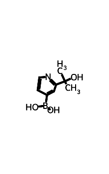 CC(C)(O)c1cc(B(O)O)ccn1